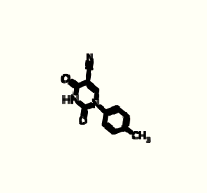 Cc1ccc(-n2cc(C#N)c(=O)[nH]c2=O)cc1